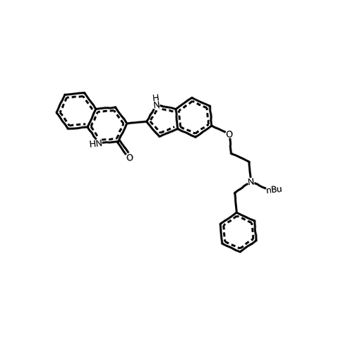 CCCCN(CCOc1ccc2[nH]c(-c3cc4ccccc4[nH]c3=O)cc2c1)Cc1ccccc1